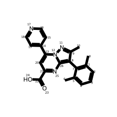 Cc1cccc(C)c1-c1c(C)nn2c(-c3ccncc3)cc(C(=O)O)nc12